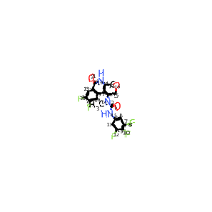 CN(C(=O)Nc1cc(F)c(F)c(F)c1)C1COCc2[nH]c(=O)c3cc(F)c(F)cc3c21